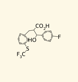 O=C(O)C(Cc1cccc(SC(F)(F)F)c1)C(O)c1ccc(F)cc1